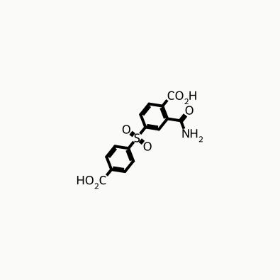 NC(=O)c1cc(S(=O)(=O)c2ccc(C(=O)O)cc2)ccc1C(=O)O